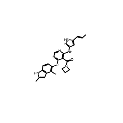 C/C=C/c1cc(Nc2ncnc(Oc3ccc4[nH]c(C)cc4c3F)c2C(=O)N2CCC2)n[nH]1